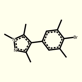 Cc1cc(-c2c(C)nn(C)c2C)cc(C)c1Br